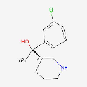 [CH2]CCC(O)(c1cccc(Cl)c1)[C@@H]1CCCNC1